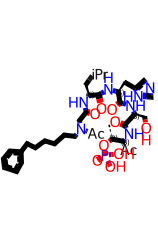 CC(=O)[C@@H](NC(=O)[C@H](CO)NC(=O)[C@H](Cc1cnc[nH]1)NC(=O)[C@H](CC(C)C)NC(=O)CN(CCCCCCc1ccccc1)C(C)=O)[C@@H](C)OP(=O)(O)O